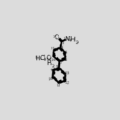 Cl.NC(=O)c1ccc(-c2ccccc2)cc1.O